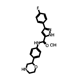 Cl.O=C(Nc1ccc(C2CNCCO2)cc1)c1cc(-c2ccc(F)cc2)n[nH]1